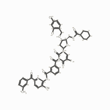 Cc1cccc(C(=O)c2ccc(C#N)c(OC(=O)c3cccc(C(=O)n4c(=O)c(F)cn([C@H]5C[C@H](OCc6ccc(Cl)cc6Cl)[C@@H](COC(=O)C6CCCCC6)O5)c4=O)c3)n2)c1